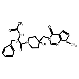 Cn1ncc2c(=O)n(CC3(O)CCN(C(=O)[C@@H](Cc4ccccc4)NC(=O)C(F)(F)F)CC3)cnc21